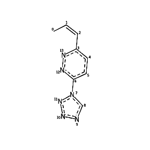 C/C=C\c1ccc(-n2cnnn2)nn1